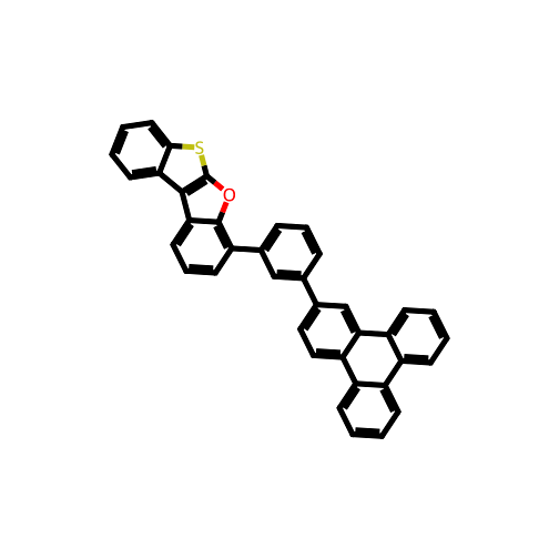 c1cc(-c2ccc3c4ccccc4c4ccccc4c3c2)cc(-c2cccc3c2oc2sc4ccccc4c23)c1